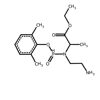 CCOC(=O)C(C)N(CCN)[PH](=O)Oc1c(C)cccc1C